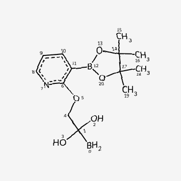 BC(O)(O)COc1ncccc1B1OC(C)(C)C(C)(C)O1